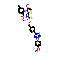 COCc1ccc(C)cc1N1C(=O)CS/C1=N\C(=S)NOCc1ccc(-c2ncn(-c3ccc(OC(F)(F)F)cc3)n2)cc1